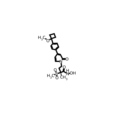 COC1(c2ccc(-c3ccn(CC[C@](C)(C(=O)NO)S(C)(=O)=O)c(=O)c3)cc2)CCC1